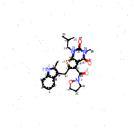 Cc1[nH]c2ccccc2c1Cc1sc2c(c1C(=O)N1CCCO1)c(=O)n(C)c(=O)n2CC(C)C